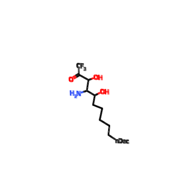 CCCCCCCCCCCCCCCC(O)C(N)C(O)C(=O)C(F)(F)F